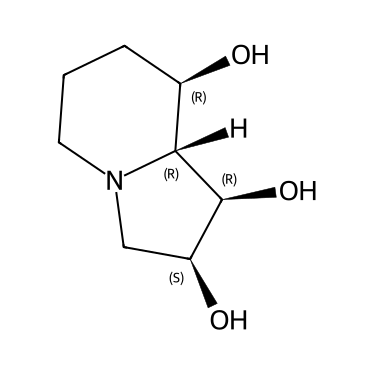 O[C@@H]1[C@H]2[C@H](O)CCCN2C[C@@H]1O